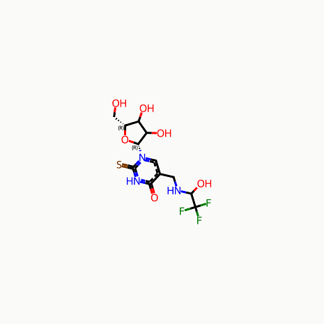 O=c1[nH]c(=S)n([C@@H]2O[C@H](CO)C(O)C2O)cc1CNC(O)C(F)(F)F